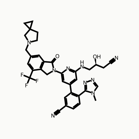 Cn1cnnc1-c1ccc(C#N)cc1-c1cc(NC[C@@H](O)CC#N)nc(N2Cc3c(cc(CN4CCC5(CC5)C4)cc3C(F)(F)F)C2=O)c1